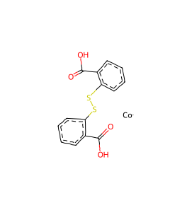 O=C(O)c1ccccc1SSc1ccccc1C(=O)O.[Co]